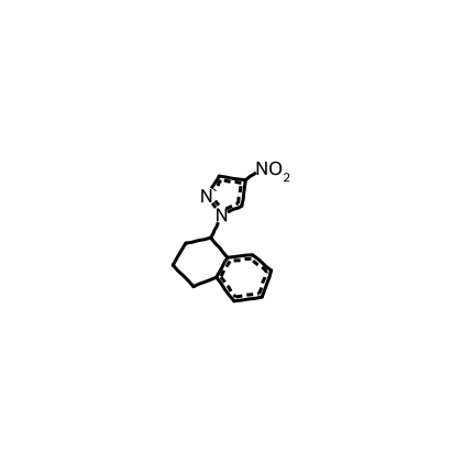 O=[N+]([O-])c1cnn(C2CCCc3ccccc32)c1